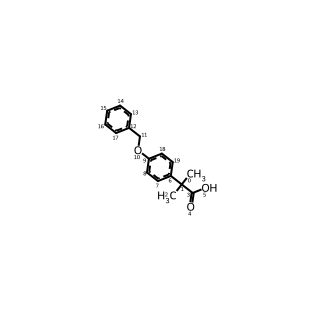 CC(C)(C(=O)O)c1ccc(OCc2ccccc2)cc1